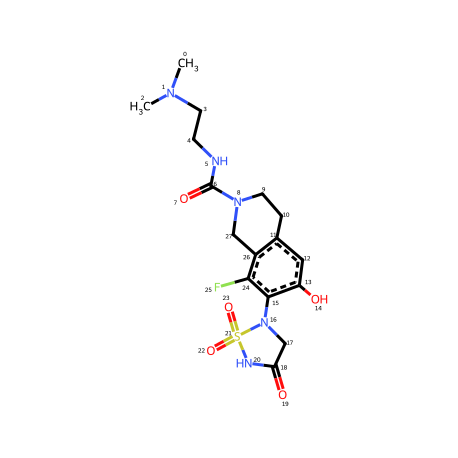 CN(C)CCNC(=O)N1CCc2cc(O)c(N3CC(=O)NS3(=O)=O)c(F)c2C1